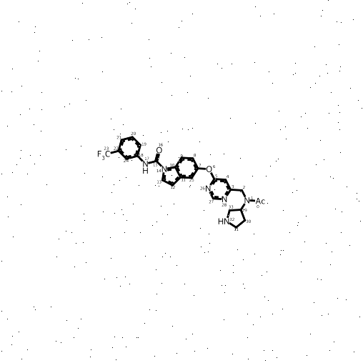 CC(=O)N(Cc1cc(Oc2ccc3c(ccn3C(=O)Nc3cccc(C(F)(F)F)c3)c2)ncn1)C1CCNC1